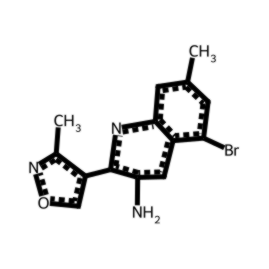 Cc1cc(Br)c2cc(N)c(-c3conc3C)nc2c1